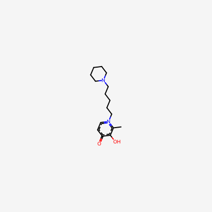 Cc1c(O)c(=O)ccn1CCCCCN1CCCCC1